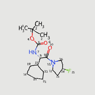 CC(C)(C)OC(=O)N[C@H](C(=O)N1CC[C@H](F)C1)C1CCCCC1